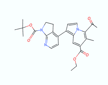 CCOC(=O)c1cc2c(-c3ccnc4c3CCN4C(=O)OC(C)(C)C)ccn2c(C(C)=O)c1C